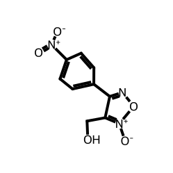 O=[N+]([O-])c1ccc(-c2no[n+]([O-])c2CO)cc1